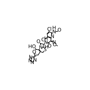 CO/N=C(\C(=O)NC1C(=O)N2C(C(=O)O)=C(CSc3nnnn3C)CS[C@H]12)c1nc(NC=O)c(Cl)cc1Cl